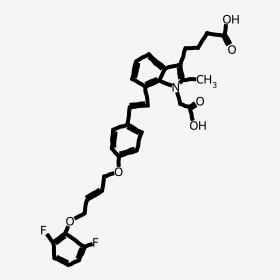 Cc1c(CCCC(=O)O)c2cccc(C=Cc3ccc(OC/C=C/COc4c(F)cccc4F)cc3)c2n1CC(=O)O